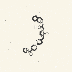 O=C(C1CCN(c2ccc(CN3CCN(C[C@H](O)CN4CCc5ccccc5C4)C3=O)cn2)CC1)N1CCCC1